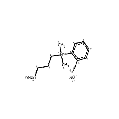 CCCCCCCCCCCC[N+](C)(C)c1ccccc1C.[OH-]